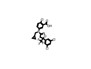 O=C(O)c1cc(N(CC2CC2)C2=NOC(c3cc(Cl)cc(Cl)c3)(C(F)(F)F)C2)ccc1Cl